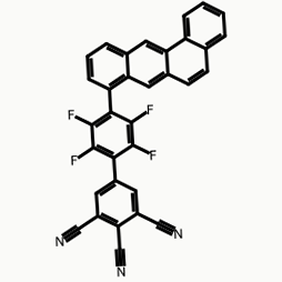 N#Cc1cc(-c2c(F)c(F)c(-c3cccc4cc5c(ccc6ccccc65)cc34)c(F)c2F)cc(C#N)c1C#N